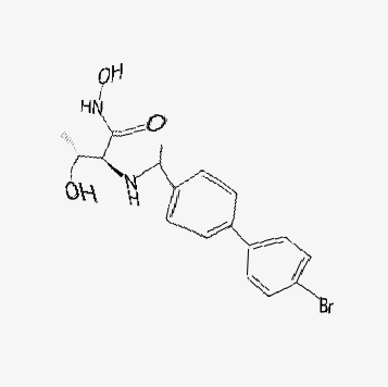 CC(N[C@H](C(=O)NO)[C@@H](C)O)c1ccc(-c2ccc(Br)cc2)cc1